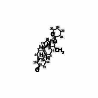 CCC12CC[C@H]3[C@@H](CCC4=CC(=O)CC[C@@H]43)[C@@H]1CC[C@@H]2OC1CCCCO1